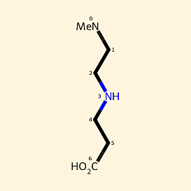 CNCCNCCC(=O)O